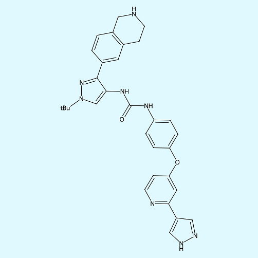 CC(C)(C)n1cc(NC(=O)Nc2ccc(Oc3ccnc(-c4cn[nH]c4)c3)cc2)c(-c2ccc3c(c2)CCNC3)n1